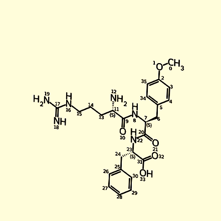 COc1ccc(C[C@H](NC(=O)[C@@H](N)CCCNC(=N)N)C(=O)N[C@@H](Cc2ccccc2)C(=O)O)cc1